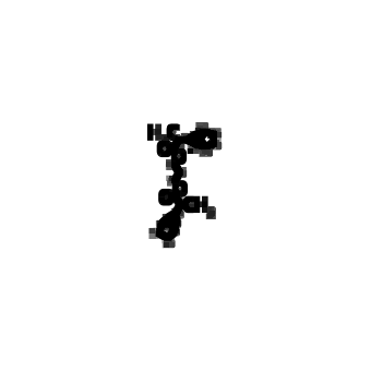 C=C(C(=O)OCCCOC(=O)C(=C)C1C2C3CCC(C3)C12)C1C2C3CCC(C3)C12